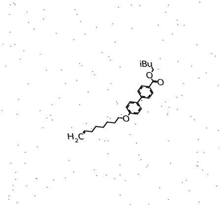 C=CCCCCCCOc1ccc(-c2ccc(C(=O)OCC(C)CC)cc2)cc1